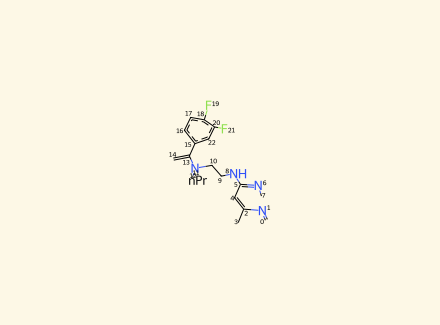 C=N/C(C)=C\C(=N/C)NCCN(CCC)C(=C)c1ccc(F)c(F)c1